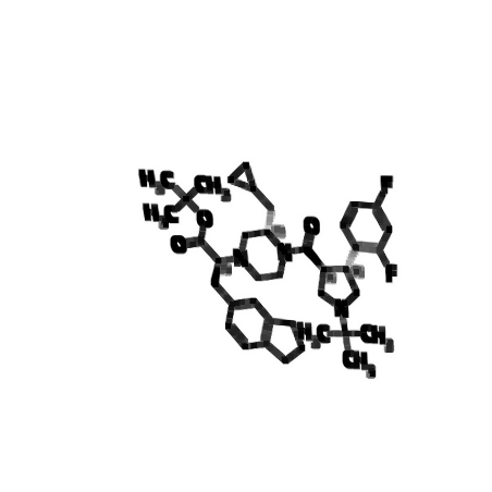 CC(C)(C)OC(=O)[C@H](Cc1ccc2c(c1)CCC2)N1CCN(C(=O)[C@@H]2CN(C(C)(C)C)C[C@H]2c2ccc(F)cc2F)[C@@H](CC2CC2)C1